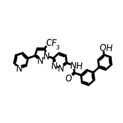 O=C(Nc1ccc(-n2nc(-c3cccnc3)cc2C(F)(F)F)nn1)c1cccc(-c2cccc(O)c2)c1